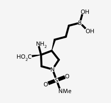 CNS(=O)(=O)N1C[C@H](CCCB(O)O)[C@](N)(C(=O)O)C1